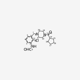 O=CNc1cccc(CN2CCN(C(=O)C3CCCC3)CC2)c1Cl